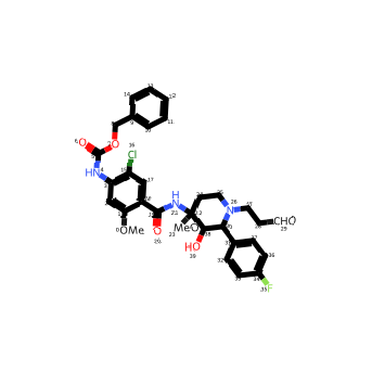 COc1cc(NC(=O)OCc2ccccc2)c(Cl)cc1C(=O)NC1(OC)CCN(CCC=O)C(c2ccc(F)cc2)C1O